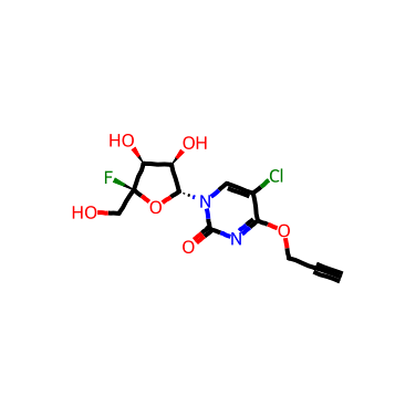 C#CCOc1nc(=O)n([C@@H]2O[C@](F)(CO)[C@@H](O)[C@H]2O)cc1Cl